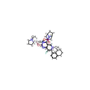 CC1CCCc2cccc(-c3ncc4c(N5CC6CCC(C5)N6C(=O)OC(C)(C)C)nc(OC[C@@H]5CCCN5C)nc4c3F)c21